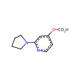 O=C(O)Oc1ccnc(N2CCCC2)c1